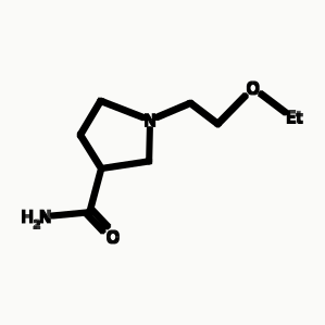 CCOCCN1CCC(C(N)=O)C1